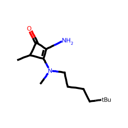 CC1C(=O)C(N)=C1N(C)CCCCC(C)(C)C